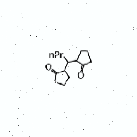 CCCC(C1CCCC1=O)C1CCCC1=O